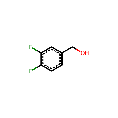 OCc1[c]cc(F)c(F)c1